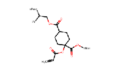 C=CC(=O)OC1(C(=O)OCCCCCCCCC)CCC(C(=O)OCC(CCCCC)C(C)C)CC1